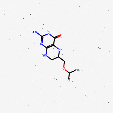 CC(C)OCC1CNc2nc(N)[nH]c(=O)c2N1